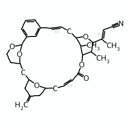 C=C1CC2C/C=C\C(=O)OC3C(C)C(C/C=C/c4cccc(c4)C4OCCC(CC(C1)O2)O4)OC(/C(C)=C/C#N)C3C